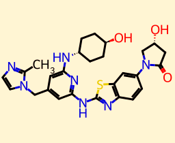 Cc1nccn1Cc1cc(Nc2nc3ccc(N4C[C@H](O)CC4=O)cc3s2)nc(N[C@H]2CC[C@H](O)CC2)c1